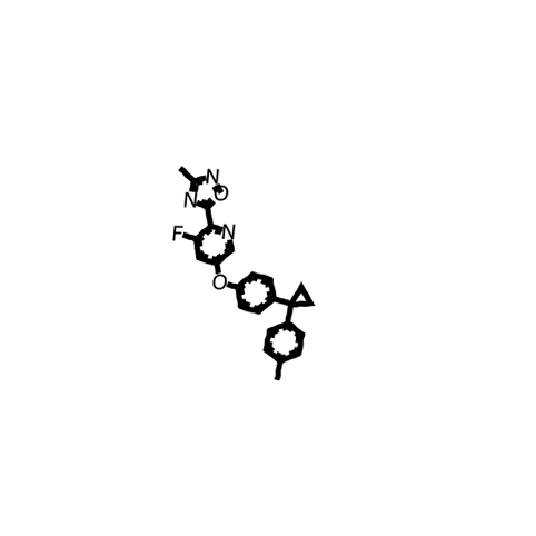 Cc1ccc(C2(c3ccc(Oc4cnc(-c5nc(C)no5)c(F)c4)cc3)CC2)cc1